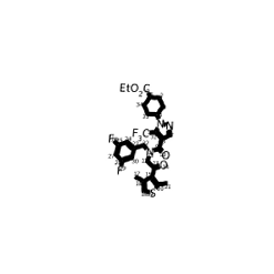 CCOC(=O)C1CCC(n2ncc(C(=O)N(CC(=O)c3c(C)csc3C)Cc3cc(F)cc(F)c3)c2C(F)(F)F)CC1